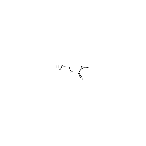 CCOC(=O)OI